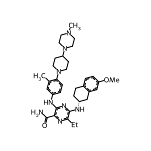 CCc1nc(C(N)=O)c(Nc2ccc(N3CCC(N4CCN(C)CC4)CC3)c(C)c2)nc1N[C@@H]1CCc2ccc(OC)cc2C1